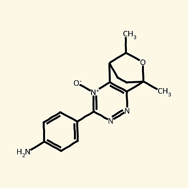 CC1OC2(C)CCC1c1c2nnc(-c2ccc(N)cc2)[n+]1[O-]